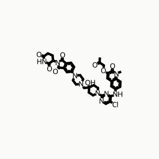 CC(=O)COc1cc2cc(Nc3nc(N4CCC(O)(CN5CCN(c6ccc7c(c6)C(=O)N(C6CCC(=O)NC6=O)C7=O)CC5)CC4)ncc3Cl)ccc2n(C)c1=O